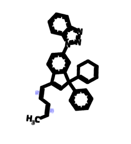 C/C=C\C=C/C1=CC(C2=CC=CCC2)(c2ccccc2)c2cc(-n3nnc4ccccc43)ccc21